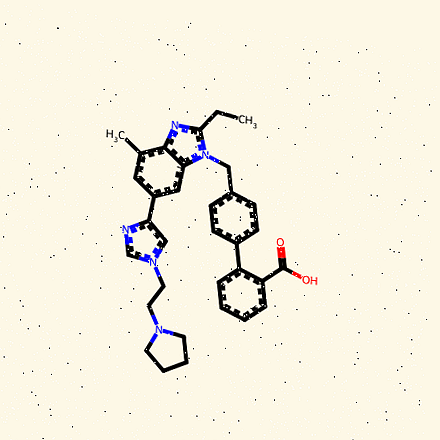 CCc1nc2c(C)cc(-c3cn(CCN4CCCC4)cn3)cc2n1Cc1ccc(-c2ccccc2C(=O)O)cc1